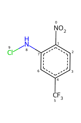 O=[N+]([O-])c1ccc(C(F)(F)F)cc1NCl